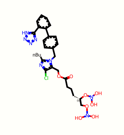 CCCCc1nc(Cl)c(COC(=O)CCC[C@@H](CON(O)O)ON(O)O)n1Cc1ccc(-c2ccccc2-c2nnn[nH]2)cc1